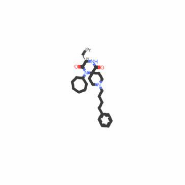 CC(C)C[C@@H]1NC(=O)C2(CCN(CCCCc3ccccc3)CC2)N(C2CCCCCC2)C1=O